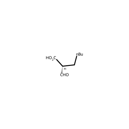 CCCCC[C@H](C=O)C(=O)O